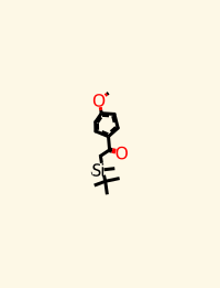 COc1ccc(C(=O)C[Si](C)(C)C(C)(C)C)cc1